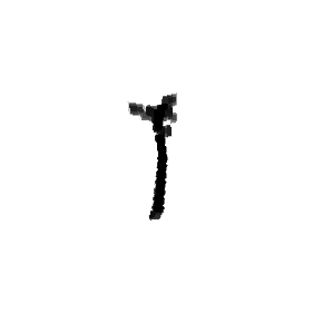 C[N+](C)(CCCNCCCCCCCCCCCCCCCCCC=O)CC(=O)O